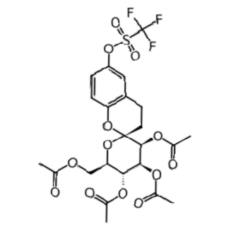 CC(=O)OC[C@H]1O[C@@]2(CCc3cc(OS(=O)(=O)C(F)(F)F)ccc3O2)[C@@H](OC(C)=O)[C@@H](OC(C)=O)[C@@H]1OC(C)=O